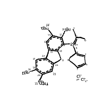 C[C](C)=[Zr+2]([C]1=CC=CC1)[c]1c2c(cc(C(C)(C)C)c1C(C)(C)C)-c1cc(C(C)(C)C)c(C(C)(C)C)cc1C2.[Cl-].[Cl-]